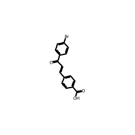 O=C(O)c1ccc(C=CC(=O)c2ccc(Br)cc2)cc1